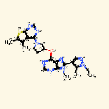 CCn1ncc(-c2nc3c(O[C@H]4CCN(c5ncnc6sc(C)c(C)c56)C4)ncnc3n2C)c1C